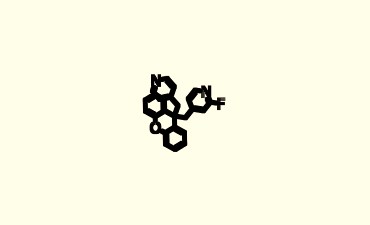 Fc1cc(CC2(Cc3ccncc3)c3ccccc3Oc3ccccc32)ccn1